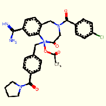 N=C(N)c1ccc2c(c1)[N+](Cc1ccc(C(=O)N3CCCC3)cc1)(OC(=O)C(F)(F)F)C(=O)CN(C(=O)c1ccc(Cl)cc1)C2